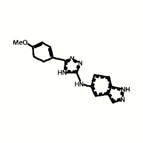 COC1=CC=C(c2nnc(Nc3ccc4[nH]ncc4c3)[nH]2)CC1